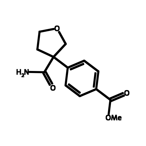 COC(=O)c1ccc(C2(C(N)=O)CCOC2)cc1